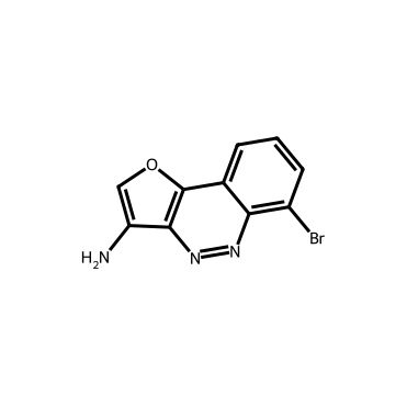 Nc1coc2c1nnc1c(Br)cccc12